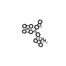 CC1(C)c2ccccc2-c2cccc(-c3cccc(N(c4ccc5c(c4)C4(c6ccccc6-c6ccccc64)c4ccccc4-5)c4ccc5c(c4)sc4ccccc45)c3)c21